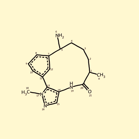 CC1CCCC(N)c2cccc(c2)-c2c(cnn2C)NC1=O